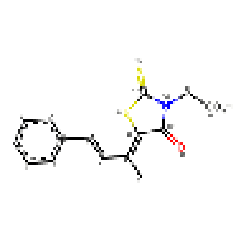 CC(C=Cc1ccccc1)=C1SC(=S)N(CC(=O)O)C1=O